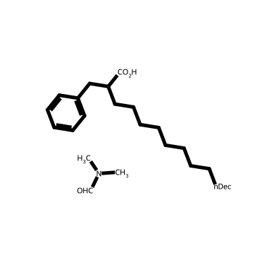 CCCCCCCCCCCCCCCCCCC(Cc1ccccc1)C(=O)O.CN(C)C=O